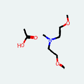 CC(=O)O.COCCN(C)CCOC